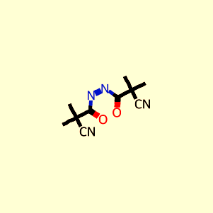 CC(C)(C#N)C(=O)/N=N\C(=O)C(C)(C)C#N